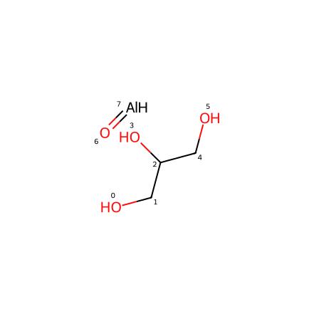 OCC(O)CO.[O]=[AlH]